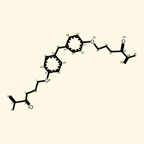 C=C(C)C(=O)CCCOc1ccc(Cc2ccc(OCCCC(=O)C(=C)C)cc2)cc1